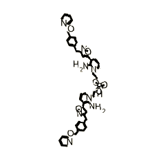 Nc1c(-c2cc(Cc3ccc(COc4ccccn4)cc3)no2)ccc[n+]1CCO[PH](=O)OCC[n+]1cccc(-c2cc(Cc3ccc(COc4ccccn4)cc3)no2)c1N